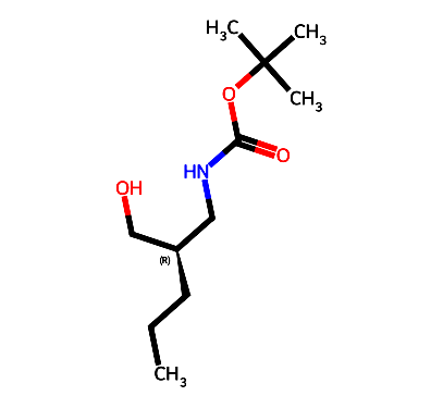 CCC[C@@H](CO)CNC(=O)OC(C)(C)C